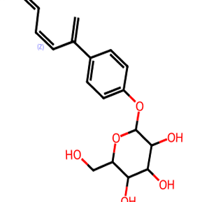 C=C(/C=C\C=C/C)c1ccc(OC2OC(CO)C(O)C(O)C2O)cc1